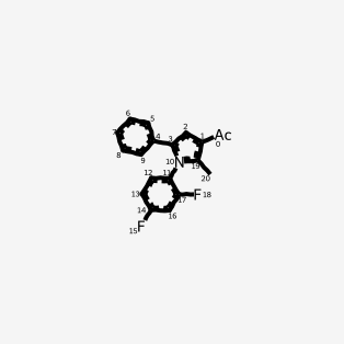 CC(=O)c1cc(-c2ccccc2)n(-c2ccc(F)cc2F)c1C